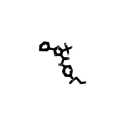 CCCN(C)c1ccc(NC(=O)c2nc(-c3ccccc3)oc2C(F)(F)F)cn1